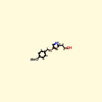 COc1ccc(CSc2cnc(CCO)s2)cc1